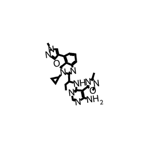 CCC(Nc1ncnc(N)c1-c1nc(C)no1)c1nc2cccc(-c3cnn(C)c3)c2c(=O)n1C1CC1